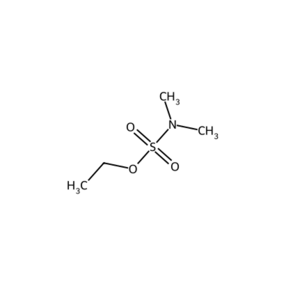 CCOS(=O)(=O)N(C)C